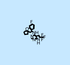 Fc1ccc2c(c1)OC1(CCCC1)C[C@@H]2Nc1ncnc2[nH]c(C(F)(F)F)cc12